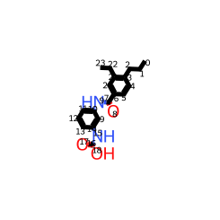 CCCc1ccc(C(=O)Nc2cccc(NC(=O)O)c2)cc1CC